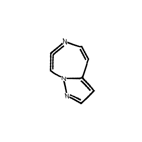 C1=Cn2nccc2C=CN=1